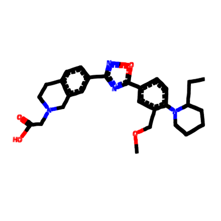 CCC1CCCCN1c1ccc(-c2nc(-c3ccc4c(c3)CN(CC(=O)O)CC4)no2)cc1COC